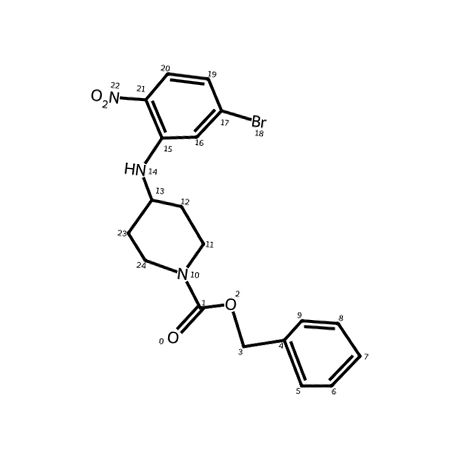 O=C(OCc1ccccc1)N1CCC(Nc2cc(Br)ccc2[N+](=O)[O-])CC1